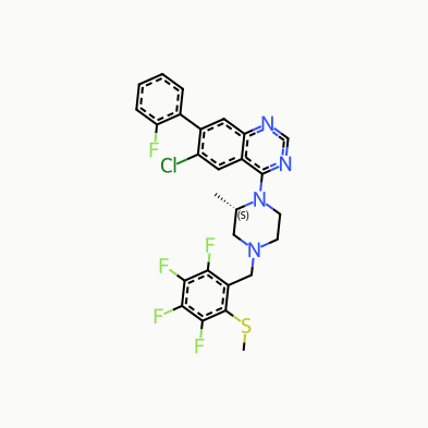 CSc1c(F)c(F)c(F)c(F)c1CN1CCN(c2ncnc3cc(-c4ccccc4F)c(Cl)cc23)[C@@H](C)C1